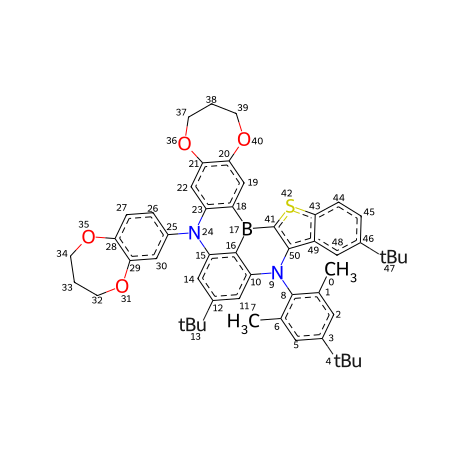 Cc1cc(C(C)(C)C)cc(C)c1N1c2cc(C(C)(C)C)cc3c2B(c2cc4c(cc2N3c2ccc3c(c2)OCCCO3)OCCCO4)c2sc3ccc(C(C)(C)C)cc3c21